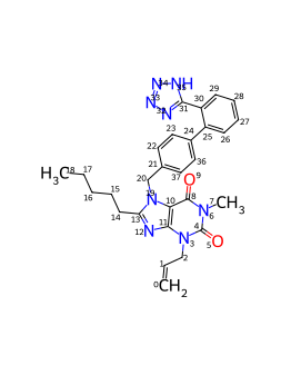 C=CCn1c(=O)n(C)c(=O)c2c1nc(CCCCC)n2Cc1ccc(-c2ccccc2-c2nnn[nH]2)cc1